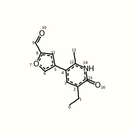 CCc1cc(-c2coc(C=O)c2)c(C)[nH]c1=O